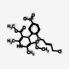 COC(=O)C1=C(C)NC(C)=C(C(=O)OC)C1c1cc([N+](=O)[O-])ccc1OCC=CCCl